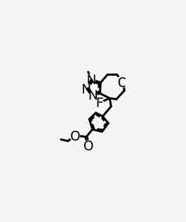 CCOC(=O)c1ccc(CC2(F)CCCCCc3c2nnn3C)cc1